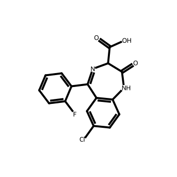 O=C(O)C1N=C(c2ccccc2F)c2cc(Cl)ccc2NC1=O